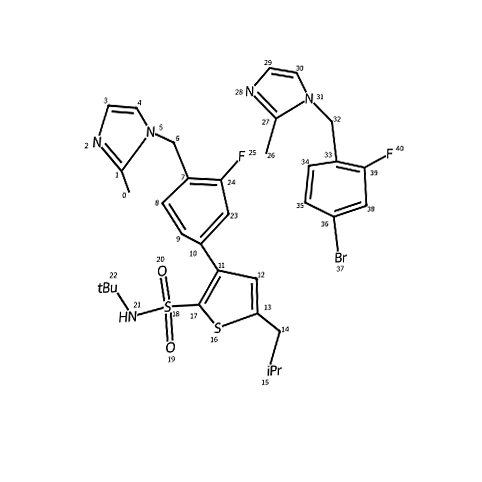 Cc1nccn1Cc1ccc(-c2cc(CC(C)C)sc2S(=O)(=O)NC(C)(C)C)cc1F.Cc1nccn1Cc1ccc(Br)cc1F